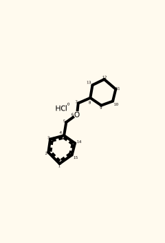 Cl.c1ccc(COCC2CCCCC2)cc1